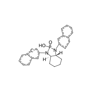 O=P1(O)N(c2ccc3ccccc3c2)[C@@H]2CCCC[C@H]2N1c1ccc2ccccc2c1